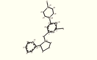 Cc1nc(CN2CCCC2c2ccccn2)cc(N2CCN(C)CC2)n1